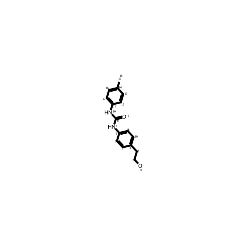 [O]CCc1ccc(NC(=O)Nc2ccc(F)cc2)cc1